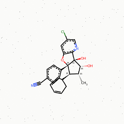 C[C@H]1[C@@H](O)[C@@]2(O)c3ncc(Cl)cc3O[C@@]2(c2ccc(C#N)cc2)[C@@H]1C1C=CC=CC1